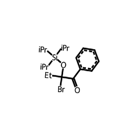 CCC(Br)(O[Si](C(C)C)(C(C)C)C(C)C)C(=O)c1ccccc1